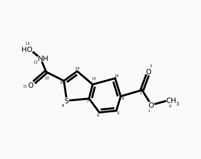 COC(=O)c1ccc2sc(C(=O)NO)cc2c1